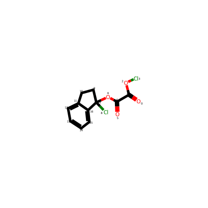 O=C(OCl)C(=O)OC1(Cl)CCc2ccccc21